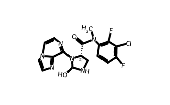 CN(C(=O)[C@@H]1CNC(O)N1c1nccn2ccnc12)c1ccc(F)c(Cl)c1F